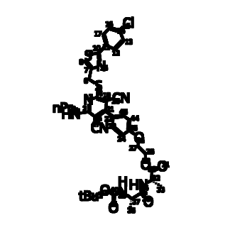 CCCNc1nc(SCc2csc(-c3ccc(Cl)cc3)n2)c(C#N)c(-c2ccc(OCCOC(=O)[C@H](C)NC(=O)[C@H](C)NC(=O)OC(C)(C)C)cc2)c1C#N